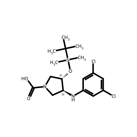 CC(C)(C)[Si](C)(C)O[C@H]1CN(C(=O)O)C[C@@H]1Nc1cc(Cl)cc(Cl)c1